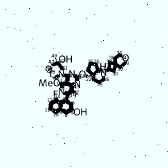 COc1nc(-c2cc(O)cc3cccc(F)c23)c(F)c2nc(OC[C@]34CCC[C@H]3N(C3CC5(CCOCC5)C3)CCC4)nc(N3CCOC[C@@](C)(O)C3)c12